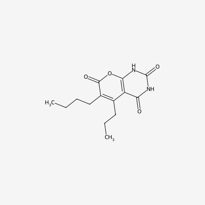 CCCCc1c(CCC)c2c(=O)[nH]c(=O)[nH]c2oc1=O